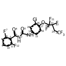 O=C(NC(=O)c1c(F)cccc1F)Nc1ccc(OC(F)(F)C(F)CC(F)(F)F)c(Cl)c1